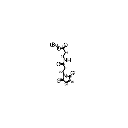 CC(C)(C)OC(=O)CCNC(=O)CCN1C(=O)C=CC1=O